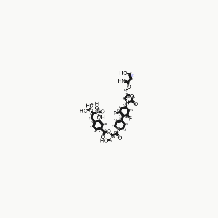 N=C(/C=C\O)OC[C@H]1CN(c2cc(F)c(C3=CCN(C(=O)[C@H](CO)OC(=O)c4ccc(CC(P(O)O)P(=O)(O)O)cc4)CC3)c(F)c2)C(=O)O1